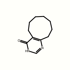 O=c1[nH]cnc2c1CCCCCCC2